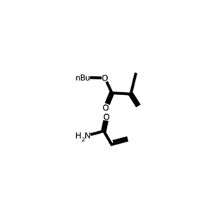 C=C(C)C(=O)OCCCC.C=CC(N)=O